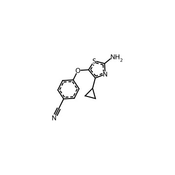 N#Cc1ccc(Oc2sc(N)nc2C2CC2)cc1